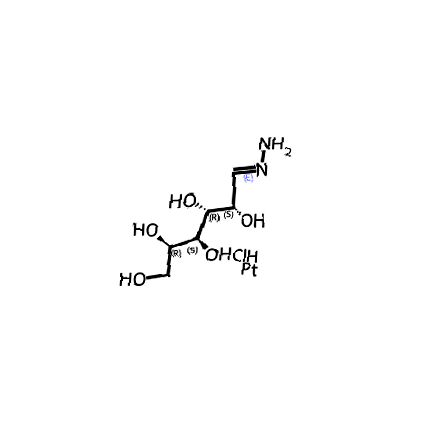 Cl.N/N=C/[C@H](O)[C@@H](O)[C@@H](O)[C@H](O)CO.[Pt]